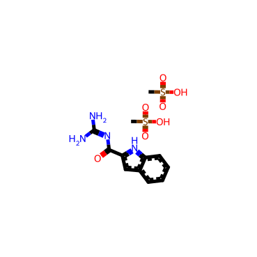 CS(=O)(=O)O.CS(=O)(=O)O.NC(N)=NC(=O)c1cc2ccccc2[nH]1